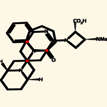 CN[C@@H]1CN(c2nc3ccccc3n(C3C[C@H]4CCC[C@H](C3)N4C3CC4CCCCC(C4)C3)c2=O)[C@@H]1C(=O)O